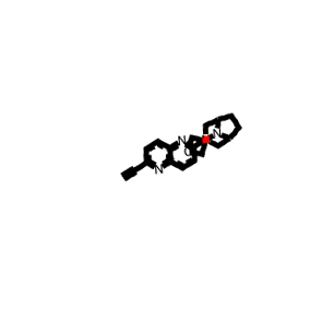 C#Cc1ccc2nc(N3CC4CCC(C3)N4C3COC3)ccc2n1